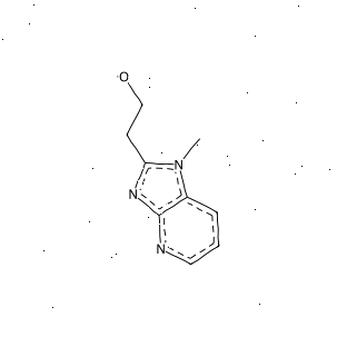 Cn1c(CC[O])nc2ncccc21